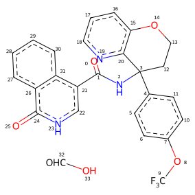 O=C(NC1(c2ccc(OC(F)(F)F)cc2)CCOc2cccnc21)c1c[nH]c(=O)c2ccccc12.O=CO